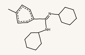 Cc1ccc(C(=NC2CCCCC2)NC2CCCCC2)cc1